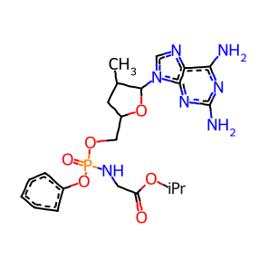 CC(C)OC(=O)CNP(=O)(OCC1CC(C)C(n2cnc3c(N)nc(N)nc32)O1)Oc1ccccc1